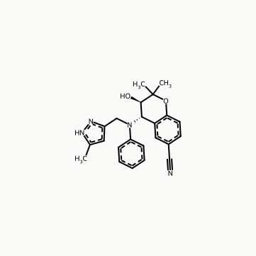 Cc1cc(CN(c2ccccc2)[C@H]2c3cc(C#N)ccc3OC(C)(C)[C@@H]2O)n[nH]1